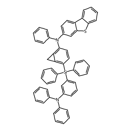 c1ccc(N(c2ccccc2)c2cccc([Si](c3ccccc3)(c3ccccc3)c3ccc(N(c4ccccc4)c4ccc5c(c4)sc4ccccc45)c4c3C4)c2)cc1